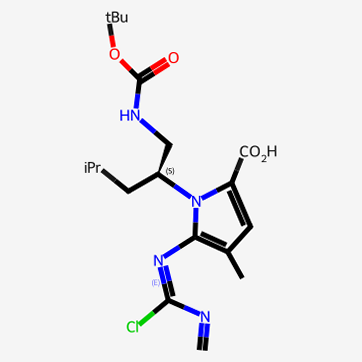 C=N/C(Cl)=N\c1c(C)cc(C(=O)O)n1[C@H](CNC(=O)OC(C)(C)C)CC(C)C